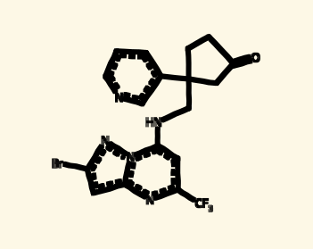 O=C1CCC(CNc2cc(C(F)(F)F)nc3cc(Br)nn23)(c2cccnc2)C1